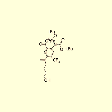 C=C(CCCCO)c1nc(C(=O)OC)c(N(C(=O)OC(C)(C)C)C(=O)OC(C)(C)C)cc1C(F)(F)F